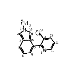 Cn1cc2cccc(-c3ncccc3Cl)c2n1